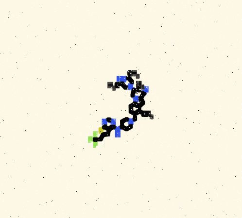 Cc1c(CN2CCC(Nc3ncnc4sc(CC(F)(F)F)cc34)CC2)ccc2c1cc(C#N)n2C[C@H](C)N1C[C@@H](C)N[C@@H](C)C1